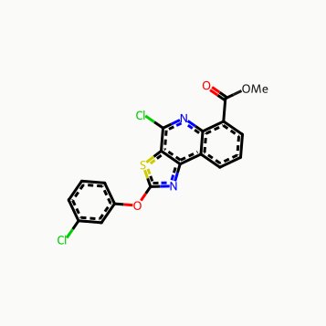 COC(=O)c1cccc2c1nc(Cl)c1sc(Oc3cccc(Cl)c3)nc12